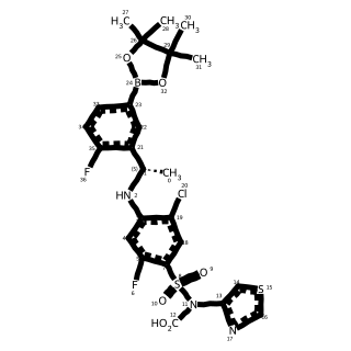 C[C@H](Nc1cc(F)c(S(=O)(=O)N(C(=O)O)c2cscn2)cc1Cl)c1cc(B2OC(C)(C)C(C)(C)O2)ccc1F